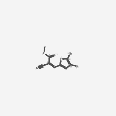 COC(=O)C(C#N)=Cc1cc(Br)c(Br)o1